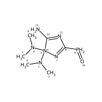 CN(C)[N+]1(N(C)C)N=C([PH2]=O)N=C1N